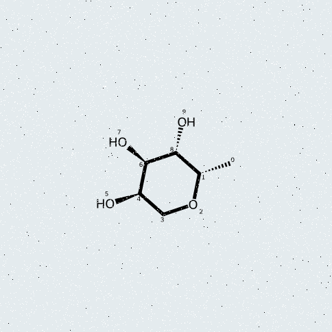 C[C@@H]1OC[C@@H](O)[C@@H](O)[C@@H]1O